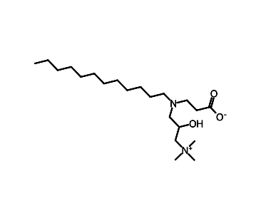 CCCCCCCCCCCCN(CCC(=O)[O-])CC(O)C[N+](C)(C)C